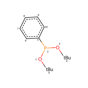 CC(C)(C)OP(OC(C)(C)C)c1ccccc1